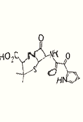 CC1(C)SC2C(NC(=O)C(=O)c3ccc[nH]3)C(=O)N2C1C(=O)O